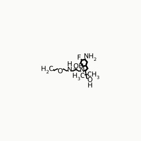 C=CCOCCNC[C@H](O)Cn1c(C(C)(C)CO)cc2cc(N)c(F)cc21